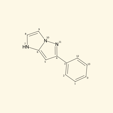 c1ccc(-c2cc3[nH]ccn3n2)cc1